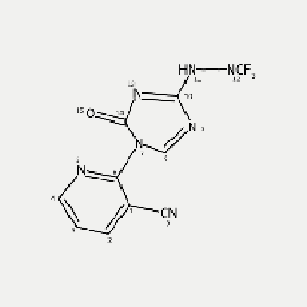 N#Cc1cccnc1-n1cnc(NNC(F)(F)F)nc1=O